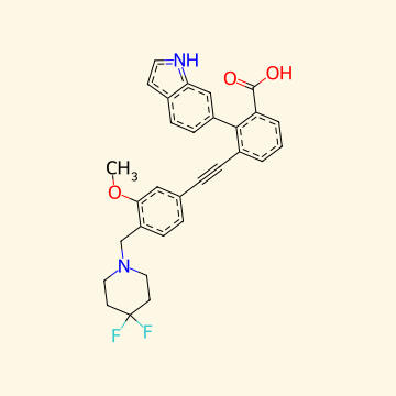 COc1cc(C#Cc2cccc(C(=O)O)c2-c2ccc3cc[nH]c3c2)ccc1CN1CCC(F)(F)CC1